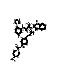 CN(C)C1CCN(C(=O)Nc2ccc(CCC(=O)NC3c4ccccc4NC3(NC(=O)C(=O)Nc3cc(Cl)ccc3-n3cnnn3)C(=O)O)cc2)CC1